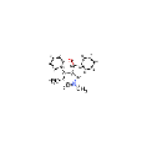 CCC(c1ccccc1)C(CN(C)C)C(=O)c1ccccc1